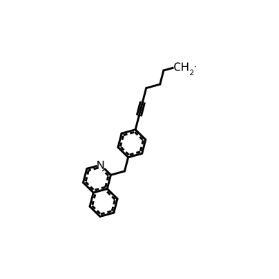 [CH2]CCCC#Cc1ccc(Cc2nccc3ccccc23)cc1